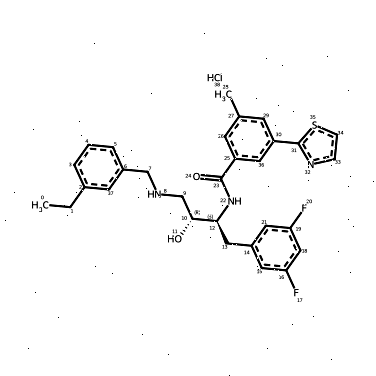 CCc1cccc(CNC[C@@H](O)[C@H](Cc2cc(F)cc(F)c2)NC(=O)c2cc(C)cc(-c3nccs3)c2)c1.Cl